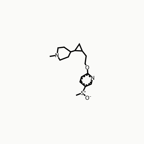 CN1CCC(C2CC2CCOc2ccc([S+](C)[O-])cn2)CC1